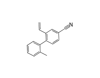 C=Cc1cc(C#N)ccc1-c1ccccc1C